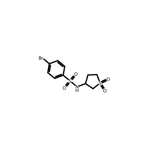 O=S1(=O)CCC(NS(=O)(=O)c2ccc(Br)cc2)C1